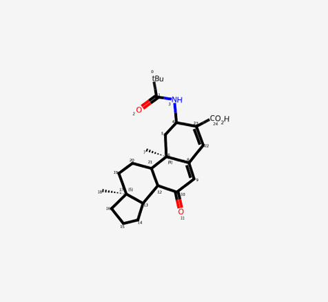 CC(C)(C)C(=O)NC1C[C@@]2(C)C(=CC(=O)C3C4CCC[C@@]4(C)CCC32)C=C1C(=O)O